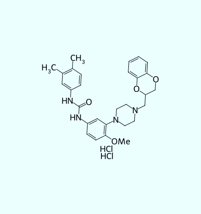 COc1ccc(NC(=O)Nc2ccc(C)c(C)c2)cc1N1CCN(CC2COc3ccccc3O2)CC1.Cl.Cl